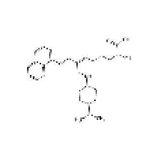 CC(CCCC=C(CNC1CCN(C(C)C)CC1)COc1cccc2ccccc12)C(=O)O